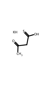 CC(=O)CC(O)=S.[KH]